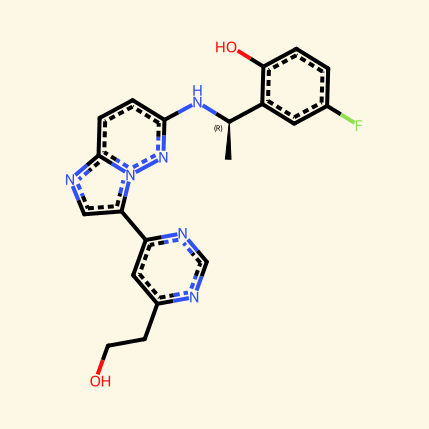 C[C@@H](Nc1ccc2ncc(-c3cc(CCO)ncn3)n2n1)c1cc(F)ccc1O